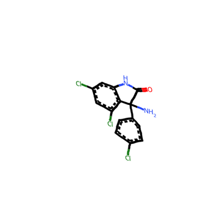 NC1(c2ccc(Cl)cc2)C(=O)Nc2cc(Cl)cc(Cl)c21